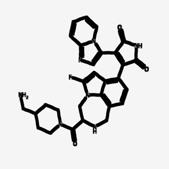 NCC1CCN(C(=O)C2Cn3c(F)cc4c(C5=C(c6cnc7ccccn67)C(=O)NC5=O)ccc(c43)CN2)CC1